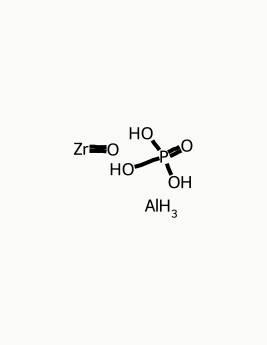 O=P(O)(O)O.[AlH3].[O]=[Zr]